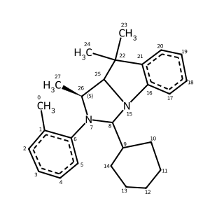 Cc1ccccc1N1C(C2CCCCC2)N2c3ccccc3C(C)(C)C2[C@@H]1C